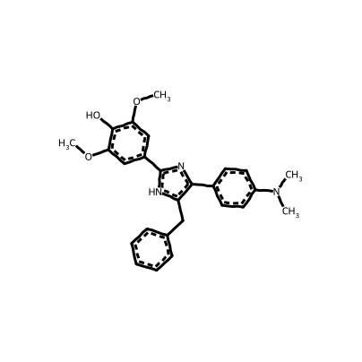 COc1cc(-c2nc(-c3ccc(N(C)C)cc3)c(Cc3ccccc3)[nH]2)cc(OC)c1O